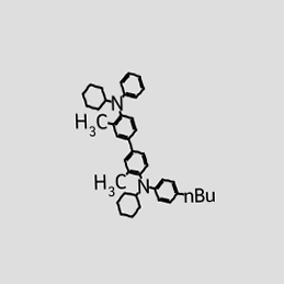 CCCCc1ccc(N(c2ccc(-c3ccc(N(c4ccccc4)C4CCCCC4)c(C)c3)cc2C)C2CCCCC2)cc1